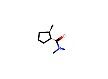 C[C@@H]1CCC[C@H]1C(=O)N(C)C